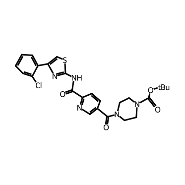 CC(C)(C)OC(=O)N1CCN(C(=O)c2ccc(C(=O)Nc3nc(-c4ccccc4Cl)cs3)nc2)CC1